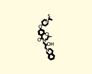 CC(=S)N1CCC(Oc2ccc3c(c2)O[C@@H](C)CN(C[C@H](O)CN2CCc4ccccc4C2)C3=O)CC1